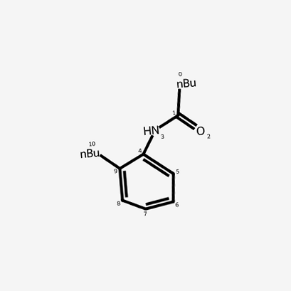 CCCCC(=O)Nc1ccccc1CCCC